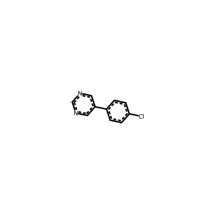 Clc1ccc(-c2cn[c]nc2)cc1